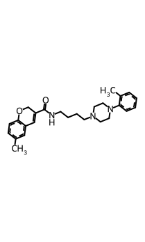 Cc1ccc2c(c1)C=C(C(=O)NCCCCN1CCN(c3ccccc3C)CC1)CO2